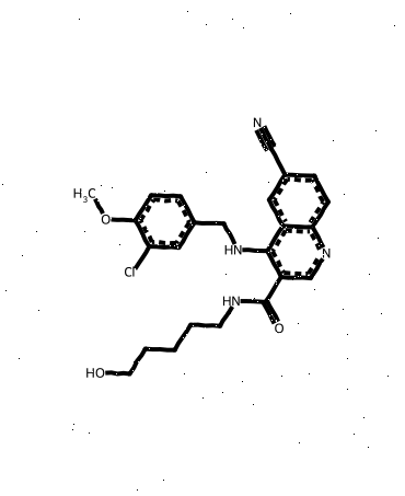 COc1ccc(CNc2c(C(=O)NCCCCCO)cnc3ccc(C#N)cc23)cc1Cl